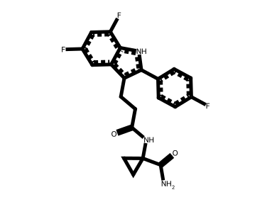 NC(=O)C1(NC(=O)CCc2c(-c3ccc(F)cc3)[nH]c3c(F)cc(F)cc23)CC1